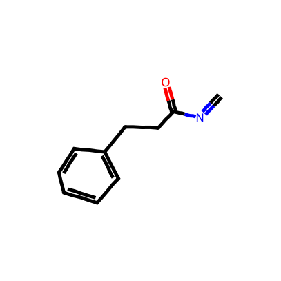 C=NC(=O)CCc1ccccc1